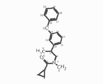 CC(CN(C)C(=O)C1CC1)c1cccc(Oc2ccccc2)c1